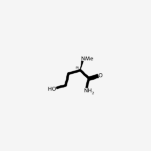 CN[C@H](CCO)C(N)=O